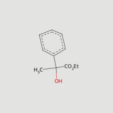 CCOC(=O)C(C)(O)c1ccccc1